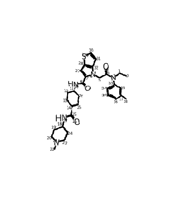 CCN(C(=O)Cn1c(C(=O)N[C@H]2CC[C@H](C(=O)NC3CCN(C)CC3)CC2)cc2sccc21)c1cccc(C)c1